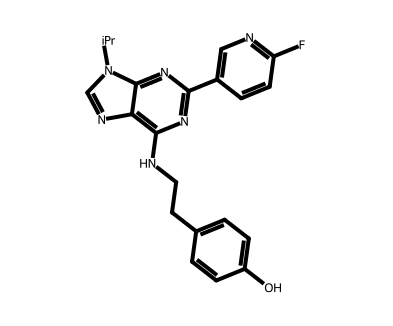 CC(C)n1cnc2c(NCCc3ccc(O)cc3)nc(-c3ccc(F)nc3)nc21